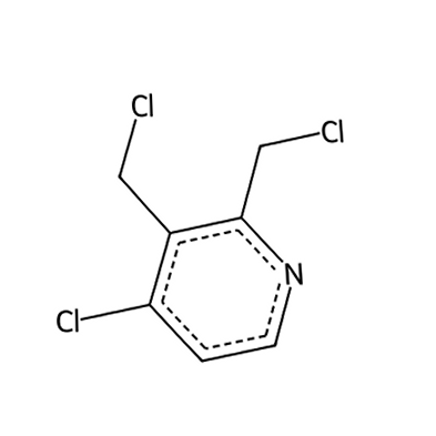 ClCc1nccc(Cl)c1CCl